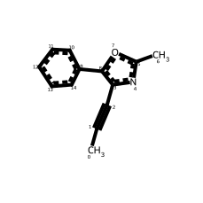 CC#Cc1nc(C)oc1-c1ccccc1